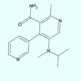 Cc1ncc(N(C)C(C)C)c(-c2cccnc2)c1C(N)=O